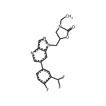 CCN1CC(Cn2ncc3ncc(-c4ccc(F)c(C(F)F)c4)cc32)OC1=O